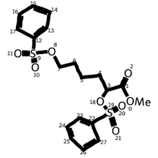 COC(=O)C(CCCCOS(=O)(=O)c1ccccc1)OS(=O)(=O)c1ccccc1